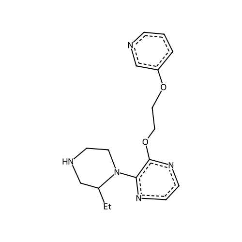 CCC1CNCCN1c1nccnc1OCCOc1cccnc1